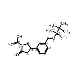 CC(C)(C)[Si](C)(C)OCc1cccc(C2CC(=O)N(C(=O)O)C2)c1